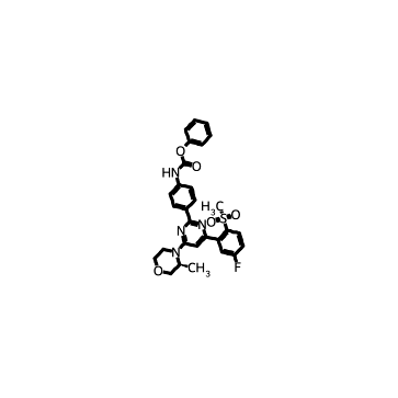 C[C@H]1COCCN1c1cc(-c2cc(F)ccc2S(C)(=O)=O)nc(-c2ccc(NC(=O)Oc3ccccc3)cc2)n1